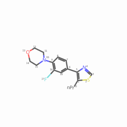 CCCc1s[c]nc1-c1ccc(N2CCOCC2)c(F)c1